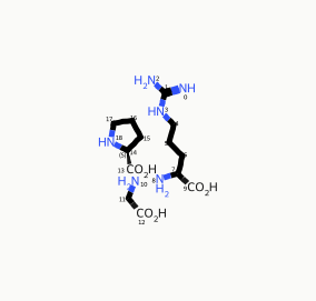 N=C(N)NCCCC(N)C(=O)O.NCC(=O)O.O=C(O)[C@@H]1CCCN1